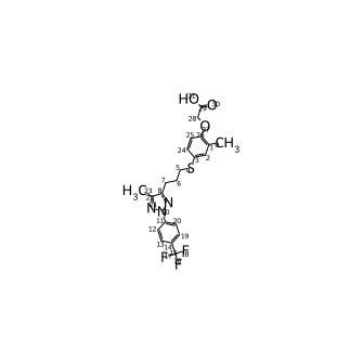 Cc1cc(SCCCc2nn(-c3ccc(C(F)(F)F)cc3)nc2C)ccc1OCC(=O)O